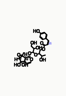 CC(O)C(COC(=O)/C=C\c1ccc(O)cc1)OC(O[C@@H]1OC=C[C@@]2(O)[C@@H](O)[C@@H]3O[C@]3(C)[C@@H]12)C(O)CO